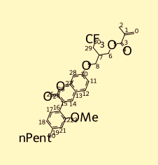 C=C(C)C(=O)OCC(COc1ccc2cc(-c3ccc(CCCCC)cc3OC)c(=O)oc2c1)CC(F)(F)F